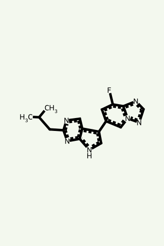 CC(C)Cc1ncc2c(-c3cc(F)c4ncnn4c3)c[nH]c2n1